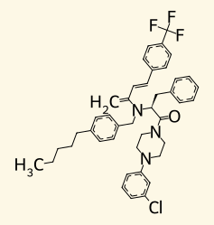 C=C(/C=C/c1ccc(C(F)(F)F)cc1)N(Cc1ccc(CCCCC)cc1)[C@@H](Cc1ccccc1)C(=O)N1CCN(c2cccc(Cl)c2)CC1